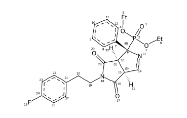 CCOP(=O)(OCC)[C@]1(c2ccccc2)N=C[C@H]2C(=O)N(CCc3ccc(F)cc3)C(=O)[C@H]21